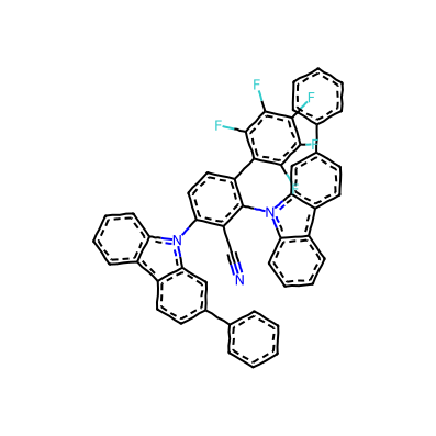 N#Cc1c(-n2c3ccccc3c3ccc(-c4ccccc4)cc32)ccc(-c2c(F)c(F)c(F)c(F)c2F)c1-n1c2ccccc2c2ccc(-c3ccccc3)cc21